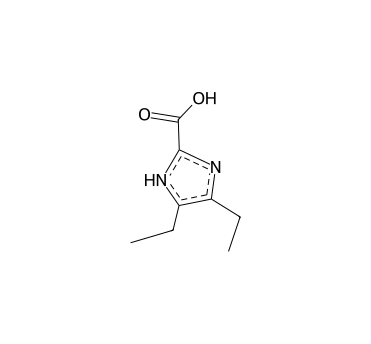 CCc1nc(C(=O)O)[nH]c1CC